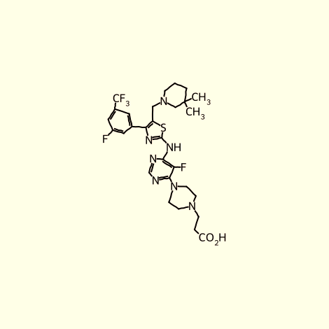 CC1(C)CCCN(Cc2sc(Nc3ncnc(N4CCN(CCC(=O)O)CC4)c3F)nc2-c2cc(F)cc(C(F)(F)F)c2)C1